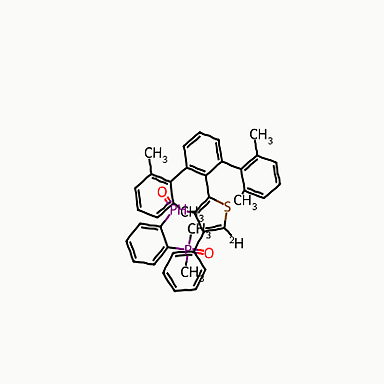 [2H]c1sc(-c2c(-c3c(C)cccc3C)cccc2-c2c(C)cccc2C)c([PH](=O)c2ccccc2P(C)(C)=O)c1-c1ccccc1